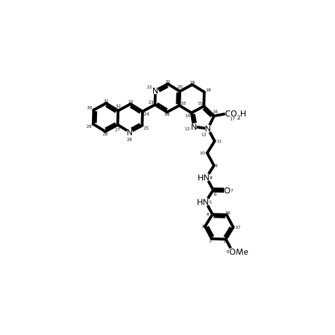 COc1ccc(NC(=O)NCCCn2nc3c(c2C(=O)O)CCc2cnc(-c4cnc5ccccc5c4)cc2-3)cc1